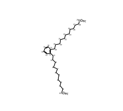 CCCCCCCCCCCCCCCCCCCCCc1[c]cccc1CCCCCCCCCCCCCCCCCCCCC